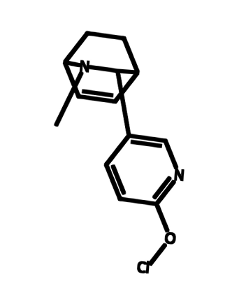 CN1C2C=CC(CC2)C1c1ccc(OCl)nc1